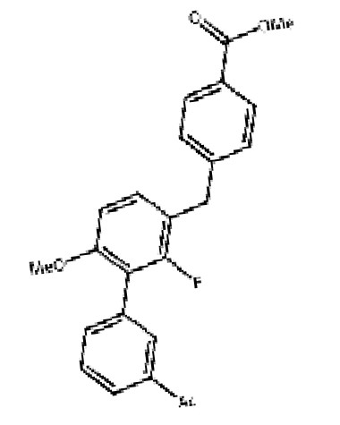 COC(=O)c1ccc(Cc2ccc(OC)c(-c3cccc(C(C)=O)c3)c2F)cc1